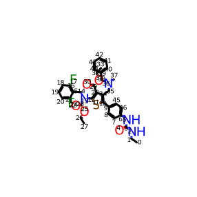 CCNC(=O)Nc1ccc(-c2sc(N(Cc3c(F)cccc3F)C(=O)OCC)c(C(=O)OCC)c2CN(C)Cc2ccccc2)cc1